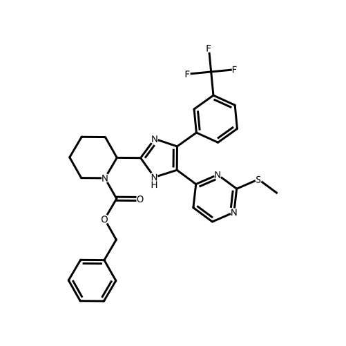 CSc1nccc(-c2[nH]c(C3CCCCN3C(=O)OCc3ccccc3)nc2-c2cccc(C(F)(F)F)c2)n1